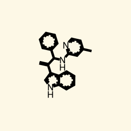 C=C(c1c[nH]c2ccccc12)C(Nc1cc(C)ccn1)c1ccccc1